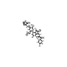 COc1cc(-c2cc(C)cc3c2n(C)c(=O)n3CC(=O)Nc2ccc(C)cc2)c(OC=O)cc1OCc1nnc[nH]1